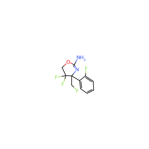 NC1=NC(CF)(c2ccccc2F)C(F)(F)CO1